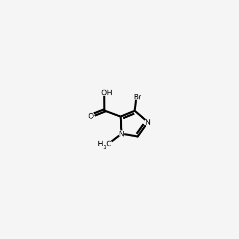 Cn1cnc(Br)c1C(=O)O